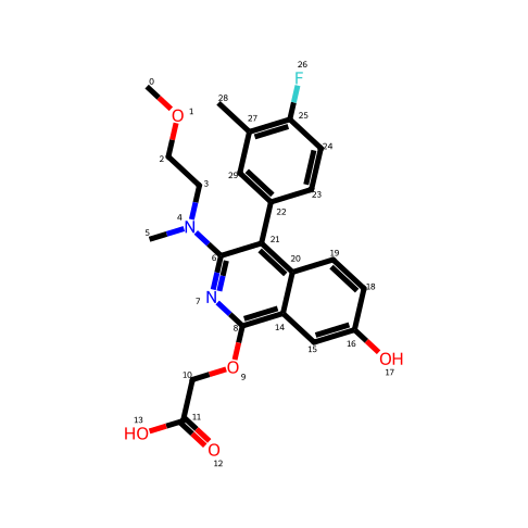 COCCN(C)c1nc(OCC(=O)O)c2cc(O)ccc2c1-c1ccc(F)c(C)c1